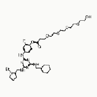 CCN1CCCC1CNc1nc(NCC2CCCCC2)nc(Nc2ccc(OC(=O)CCOCCOCCOCCOCCO)c(F)c2)n1